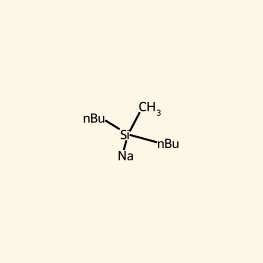 CCCC[Si](C)([Na])CCCC